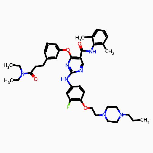 CCCN1CCN(CCOc2ccc(Nc3ncc(C(=O)Nc4c(C)cccc4C)c(Oc4cccc(CCC(=O)N(CC)CC)c4)n3)cc2F)CC1